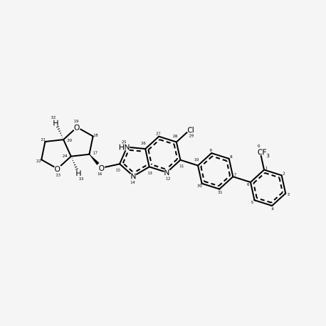 FC(F)(F)c1ccccc1-c1ccc(-c2nc3nc(O[C@@H]4CO[C@@H]5CCO[C@@H]54)[nH]c3cc2Cl)cc1